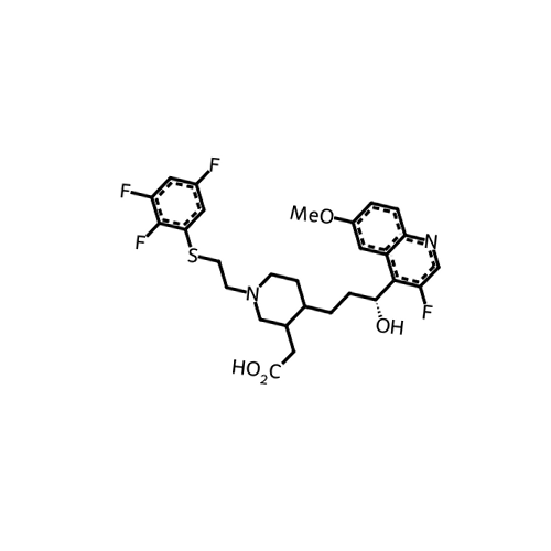 COc1ccc2ncc(F)c([C@H](O)CCC3CCN(CCSc4cc(F)cc(F)c4F)CC3CC(=O)O)c2c1